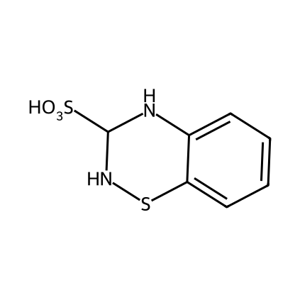 O=S(=O)(O)C1NSc2ccccc2N1